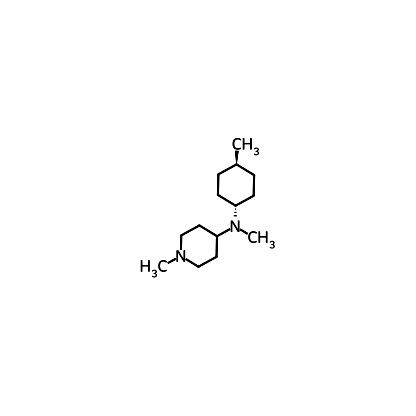 CN1CCC(N(C)[C@H]2CC[C@H](C)CC2)CC1